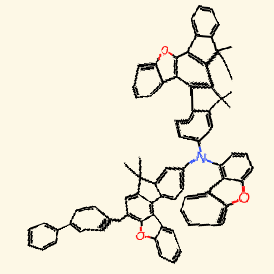 CC1(C)c2cc(N(c3ccc4c(c3)C(C)(C)c3c5c(c6oc7ccccc7c6c3-4)-c3ccccc3C5(C)C)c3cccc4oc5ccccc5c34)ccc2-c2c1cc(-c1ccc(-c3ccccc3)cc1)c1oc3ccccc3c21